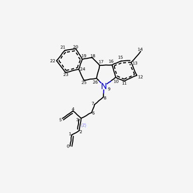 C=C/C=C(\C=C)CCCN1c2ccc(C)cc2C2Cc3ccccc3CC21